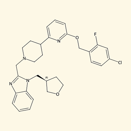 Fc1cc(Cl)ccc1COc1cccc(C2CCN(Cc3nc4ccccc4n3C[C@H]3CCOC3)CC2)n1